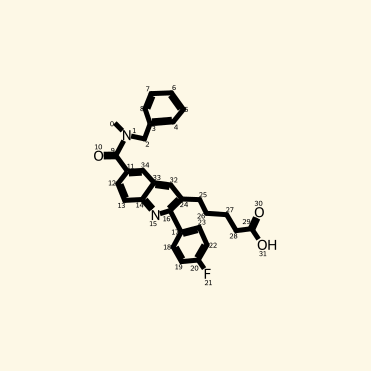 CN(Cc1ccccc1)C(=O)c1ccc2nc(-c3ccc(F)cc3)c(CCCCC(=O)O)cc2c1